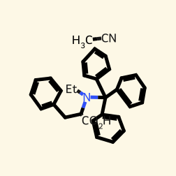 CC#N.CCN(C(Cc1ccccc1)C(=O)O)C(c1ccccc1)(c1ccccc1)c1ccccc1